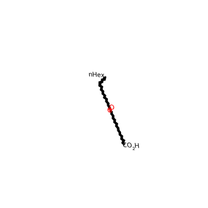 CCCCCC/C=C\CC/C=C\CCCCCCCCCCC(=O)OCCCCCCCCCCCCCCCCC(=O)O